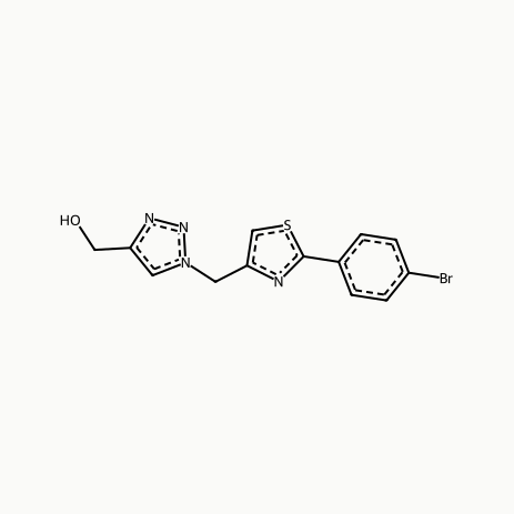 OCc1cn(Cc2csc(-c3ccc(Br)cc3)n2)nn1